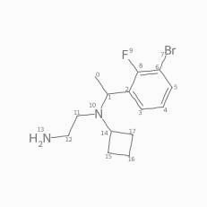 CC(c1cccc(Br)c1F)N(CCN)C1CCC1